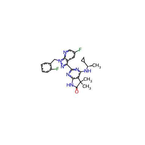 C[C@@H](Nc1nc(-c2nn(Cc3ccccc3F)c3ncc(F)cc23)nc2c1C(C)(C)C(=O)N2)C1CC1